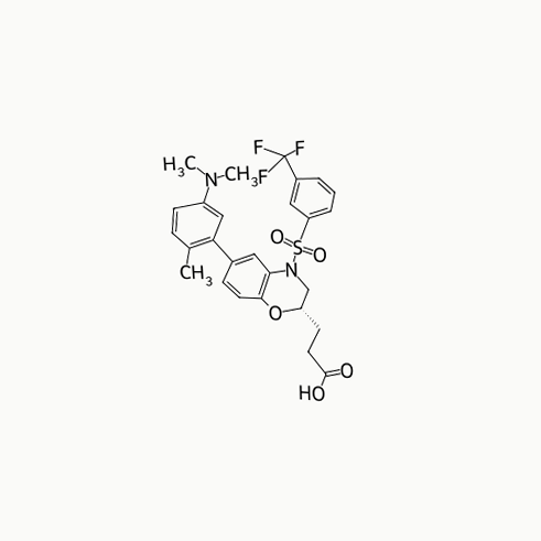 Cc1ccc(N(C)C)cc1-c1ccc2c(c1)N(S(=O)(=O)c1cccc(C(F)(F)F)c1)C[C@H](CCC(=O)O)O2